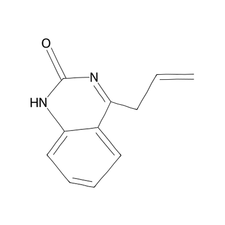 C=CCc1nc(=O)[nH]c2ccccc12